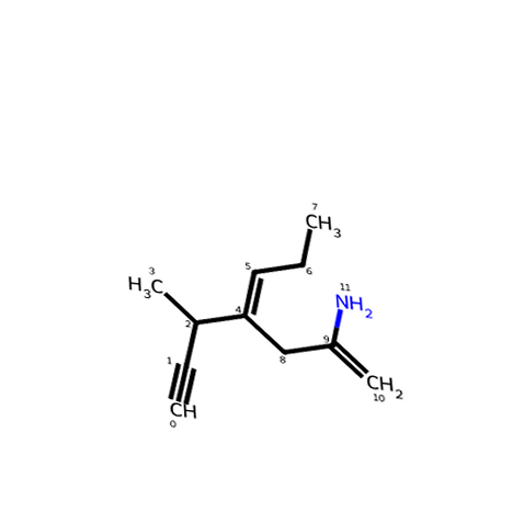 C#CC(C)C(=CCC)CC(=C)N